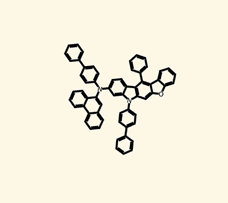 c1ccc(-c2ccc(N(c3ccc4c5c(-c6ccccc6)c6c(cc5n(-c5ccc(-c7ccccc7)cc5)c4c3)oc3ccccc36)c3cc4ccccc4c4ccccc34)cc2)cc1